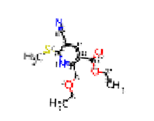 CCOCc1nc(SC)c(C#N)cc1C(=O)OCC